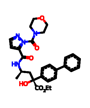 CCOC(=O)[C@](O)(C[C@@H](C)NC(=O)c1ccnn1C(=O)N1CCOCC1)c1ccc(-c2ccccc2)cc1